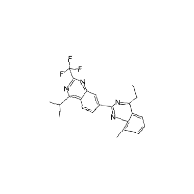 CCc1nc(-c2ccc3c(C(C)C)nc(C(F)(F)F)nc3c2)nc2c(C)cccc12